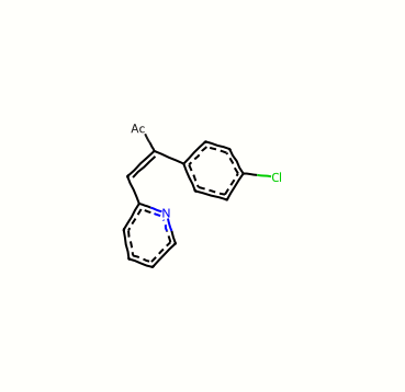 CC(=O)C(=Cc1ccccn1)c1ccc(Cl)cc1